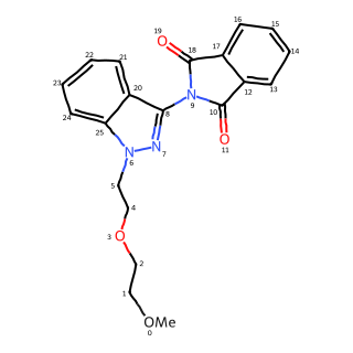 COCCOCCn1nc(N2C(=O)c3ccccc3C2=O)c2ccccc21